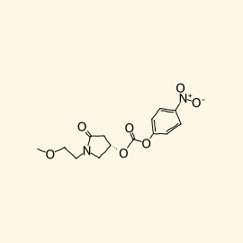 COCCN1C[C@@H](OC(=O)Oc2ccc([N+](=O)[O-])cc2)CC1=O